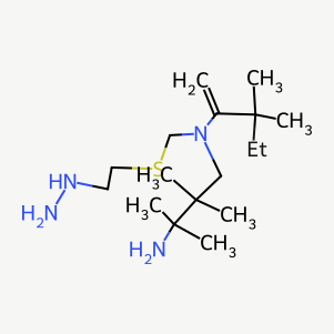 C=C(N(CSCCNN)CC(C)(C)C(C)(C)N)C(C)(C)CC